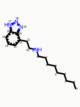 CCCCCCCCCNCCc1cccc2[nH]nnc12